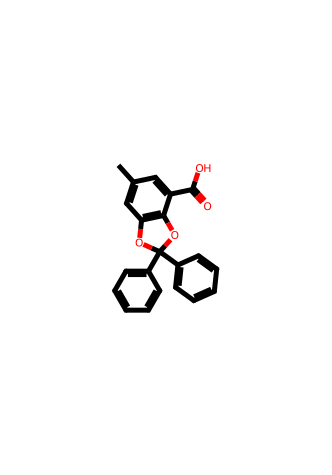 Cc1cc2c(c(C(=O)O)c1)OC(c1ccccc1)(c1ccccc1)O2